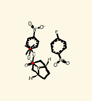 CC(C)(C)OC(=O)N1[C@@H]2CC[C@H]1C[C@@H](Oc1ccc([N+](=O)[O-])cc1)C2.O=[N+]([O-])c1ccc(F)cc1